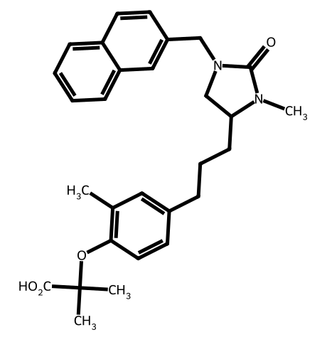 Cc1cc(CCCC2CN(Cc3ccc4ccccc4c3)C(=O)N2C)ccc1OC(C)(C)C(=O)O